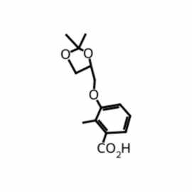 Cc1c(OCC2COC(C)(C)O2)cccc1C(=O)O